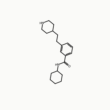 O=C(NC1CCCCC1)c1cccc(CCC2CCNCC2)c1